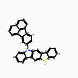 c1cc2c3c(cccc3c1)-c1cc(-n3c4ccccc4c4cc5sc6ccccc6c5cc43)ccc1-2